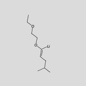 [Li]/[C](=C\CC(C)C)OCCOCC